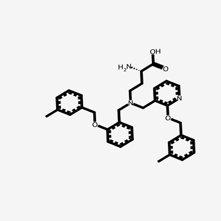 Cc1cccc(COc2ccccc2CN(CC[C@H](N)C(=O)O)Cc2cccnc2OCc2cccc(C)c2)c1